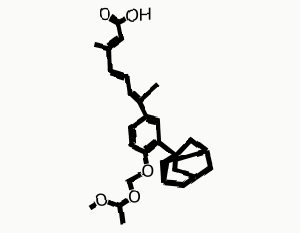 COC(C)OCOc1ccc(C(C)=CC=CC(C)=CC(=O)O)cc1C12CC3CC(CC(C3)C1)C2